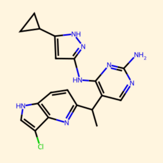 CC(c1ccc2[nH]cc(Cl)c2n1)c1cnc(N)nc1Nc1cc(C2CC2)[nH]n1